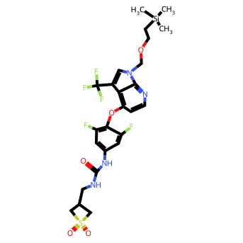 C[Si](C)(C)CCOCn1cc(C(F)(F)F)c2c(Oc3c(F)cc(NC(=O)NCC4CS(=O)(=O)C4)cc3F)ccnc21